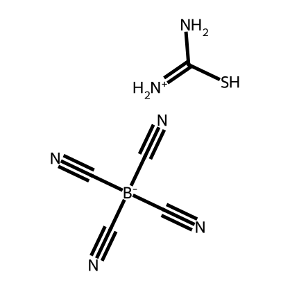 N#C[B-](C#N)(C#N)C#N.NC(=[NH2+])S